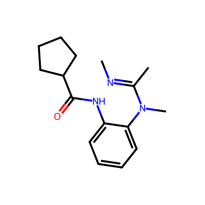 CN=C(C)N(C)c1ccccc1NC(=O)C1CCCC1